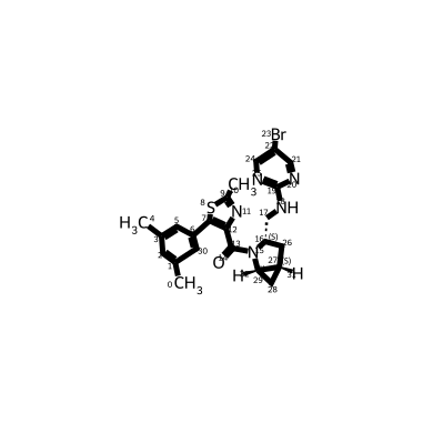 Cc1cc(C)cc(-c2sc(C)nc2C(=O)N2[C@H](CNc3ncc(Br)cn3)C[C@@H]3C[C@@H]32)c1